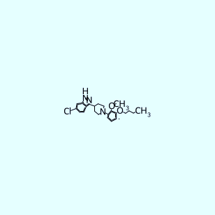 CCCCOc1[c]ccc(N2CCC(c3n[nH]c4cc(Cl)ccc34)CC2)c1OC